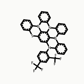 FC(F)(F)c1ccc(N2c3ccccc3B3c4ccccc4N4c5ccccc5B5c6ccccc6Sc6cc2c3c4c65)c(C(F)(F)F)c1